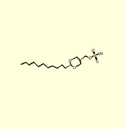 CCCCCCCCCCC[C@H]1OC[C@@H](COS(=O)(=O)O)CO1